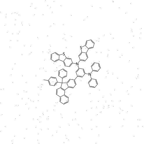 Cc1ccc(C2(c3ccccc3)c3cc(-c4cc(N(c5ccccc5)c5ccccc5)cc(N(c5ccc6c(c5)sc5ccccc56)c5ccc6c(c5)sc5ccccc56)c4)ccc3-c3c2ccc2ccccc32)cc1